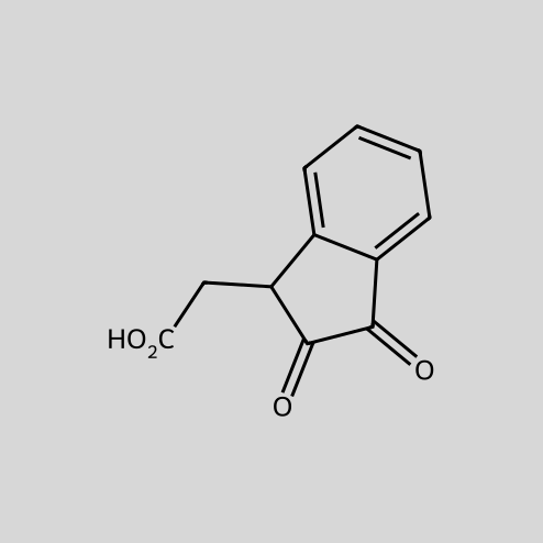 O=C(O)CC1C(=O)C(=O)c2ccccc21